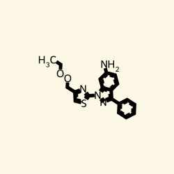 CCOOCc1csc(-n2nc(-c3ccccc3)c3ccc(N)cc32)n1